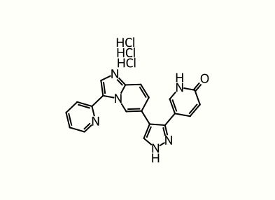 Cl.Cl.Cl.O=c1ccc(-c2n[nH]cc2-c2ccc3ncc(-c4ccccn4)n3c2)c[nH]1